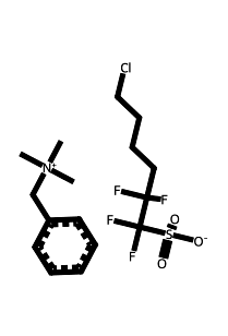 C[N+](C)(C)Cc1ccccc1.O=S(=O)([O-])C(F)(F)C(F)(F)CCCCCl